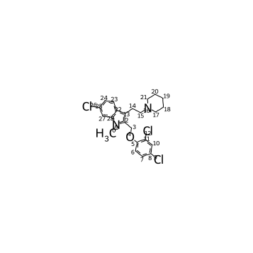 Cn1c(COc2ccc(Cl)cc2Cl)c(CCN2CCCCC2)c2ccc(Cl)cc21